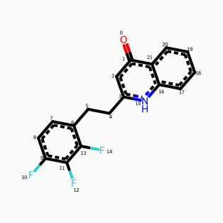 O=c1cc(CCc2ccc(F)c(F)c2F)[nH]c2ccccc12